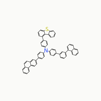 c1cc(-c2ccc(N(c3ccc(-c4ccc5c(ccc6ccccc65)c4)cc3)c3ccc(-c4cccc5sc6ccccc6c45)cc3)cc2)cc(-c2cccc3ccccc23)c1